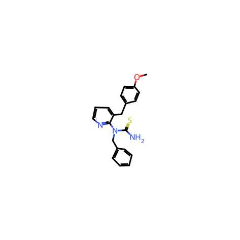 COc1ccc(Cc2cccnc2N(Cc2ccccc2)C(N)=S)cc1